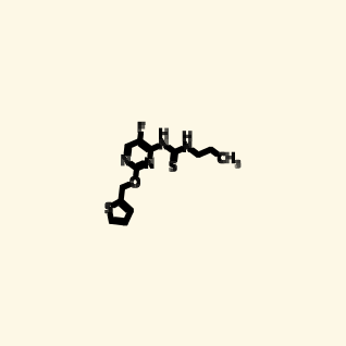 CCCNC(=S)Nc1nc(OCc2cccs2)ncc1F